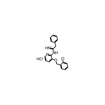 Cl.N=C(Cc1ccccc1)Nc1ncccc1OCc1ccccc1Cl